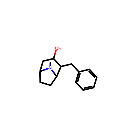 CN1C2CCC1C(Cc1ccccc1)C(O)C2